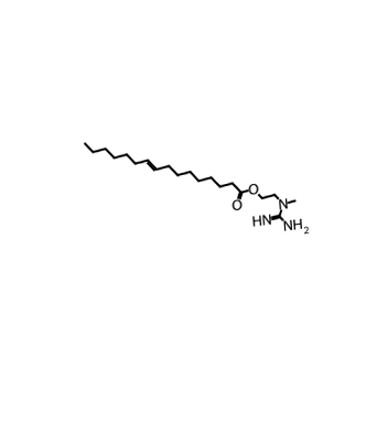 CCCCCC/C=C/CCCCCCCC(=O)OCCN(C)C(=N)N